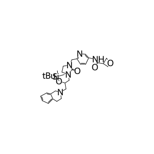 CC(C)(C)[Si](C)(C)OC(CN1CCc2ccccc2C1)CN1CCN(Cc2ccc(NC(=O)C3COC3)cn2)C1=O